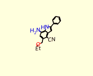 CCOCc1cc(N)c2[nH]c(-c3ccccc3)cc2c1C#N